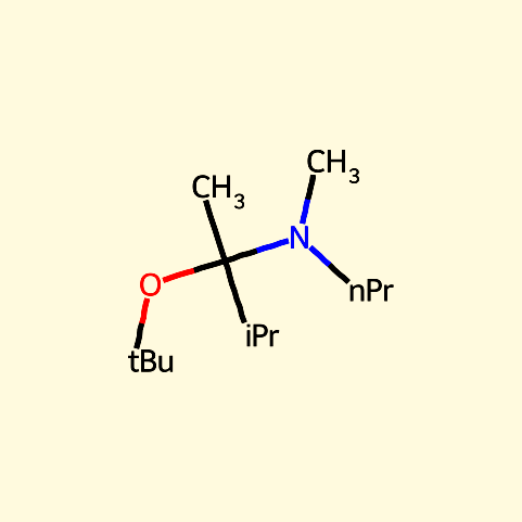 CCCN(C)C(C)(OC(C)(C)C)C(C)C